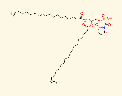 CCCCCCCCCCCCCCCCCC(=O)OCC(COP(=O)(O)C(=O)N1C(=O)CCC1=O)OC(=O)CCCCCCCCCCCCCCCCC